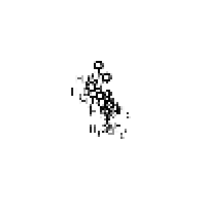 C[C@]1(C(=O)OC(c2ccccc2)c2ccccc2)CC[C@]2(C)CC[C@]3(C)C(=CC(=O)[C@@H]4[C@@]5(C)CC[C@H](N)[C@@](C)(C(=O)OCC[Si](C)(C)C)[C@@H]5CC[C@]43C)[C@@H]2C1